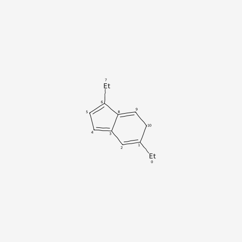 CCC1=CC2=CC=C(CC)C2=CC1